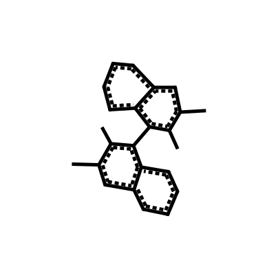 Cc1cc2ccccc2c(-c2c(C)c(C)cc3ccccc23)c1C